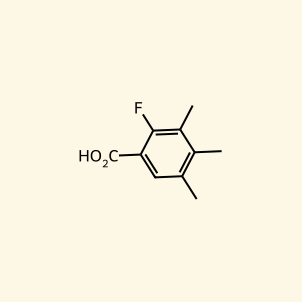 Cc1cc(C(=O)O)c(F)c(C)c1C